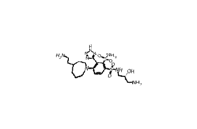 NCCC1CCCN(c2ccc(S(=O)(=O)NC[C@H](O)CN)c(S(N)(=O)=O)c2-c2nn[nH]n2)CC1